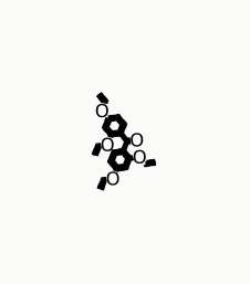 C=COc1ccc(C(=O)c2ccc(OC=C)cc2OC=C)c(OC=C)c1